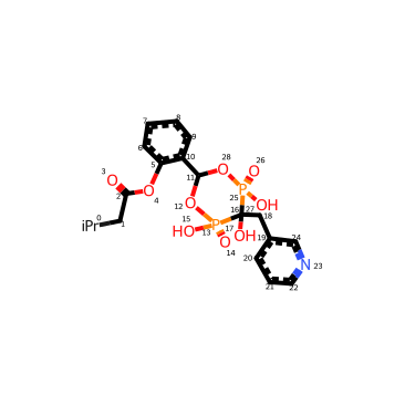 CC(C)CC(=O)Oc1ccccc1C1OP(=O)(O)C(O)(Cc2cccnc2)P(=O)(O)O1